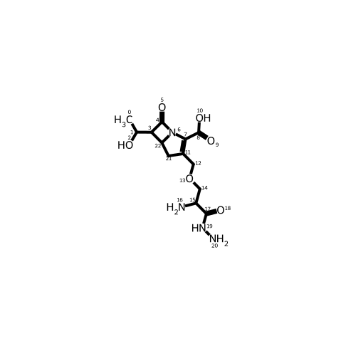 CC(O)C1C(=O)N2C(C(=O)O)=C(COCC(N)C(=O)NN)CC12